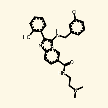 CN(C)CCNC(=O)c1ccc2nc(-c3ccccc3O)c(NCc3cccc(Cl)c3)n2c1